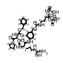 N=C(N)NCCC[C@H](NC(=O)[C@@H]1CCCN1C(=O)CNC(=O)OCc1ccccc1)C(=O)Nc1ccc(COC(=O)NCCCC(O)(O[PH](=O)O)O[PH](=O)O)cc1